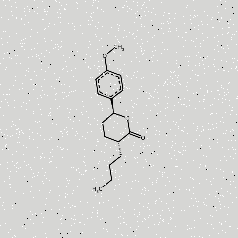 CCCC[C@@H]1CC[C@@H](c2ccc(OC)cc2)OC1=O